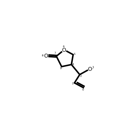 C=CC([O])C1COC(=O)C1